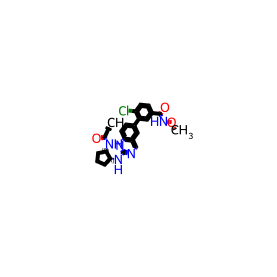 C#CC(=O)N[C@H]1CCC[C@H]1Nc1ncc2cc(-c3cc(C(=O)NOC)ccc3Cl)ccc2n1